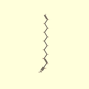 C=CCCCCCCCCC=CC#N